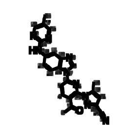 CC(=O)c1ccc(-n2cnc3cc(Nc4ncc(C)cn4)ccc32)nc1-n1nc(C#N)cc1C